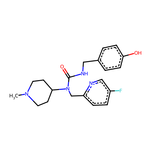 CN1CCC(N(Cc2ccc(F)cn2)C(=O)NCc2ccc(O)cc2)CC1